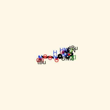 COc1cc(C(=O)NCCOCCOCCN(C)C(=O)OC(C)(C)C)ccc1NC(=O)[C@@H]1N[C@@H](CC(C)(C)C)[C@](C#N)(c2ccc(Cl)cc2F)[C@H]1c1cccc(Cl)c1F